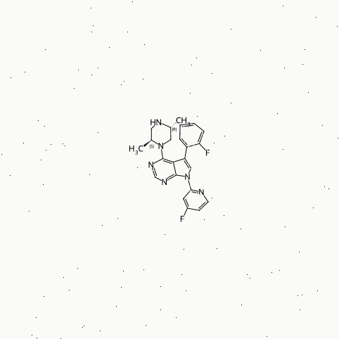 C[C@@H]1CN(c2ncnc3c2c(-c2ccccc2F)cn3-c2cc(F)ccn2)[C@@H](C)CN1